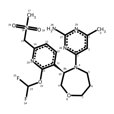 Cc1cc(N2CCCOC[C@H]2c2ccc(CS(C)(=O)=O)nc2OC(F)F)nc(N)n1